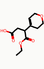 CCOC(=O)C(CC(=O)O)C1=CCOCC1